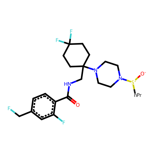 CCC[S+]([O-])N1CCN(C2(CNC(=O)c3ccc(CF)cc3F)CCC(F)(F)CC2)CC1